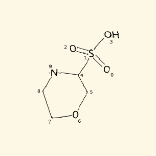 O=S(=O)(O)C1COCC[N]1